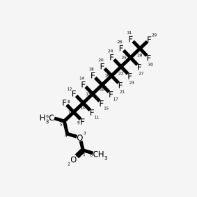 CC(=O)OCC(C)C(F)(F)C(F)(F)C(F)(F)C(F)(F)C(F)(F)C(F)(F)C(F)(F)C(F)(F)F